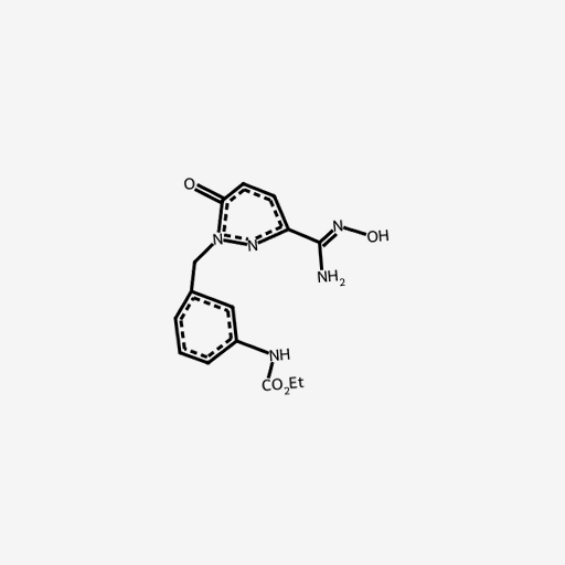 CCOC(=O)Nc1cccc(Cn2nc(/C(N)=N/O)ccc2=O)c1